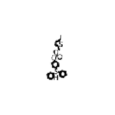 O=C(OCc1ccc(I)s1)Oc1ccc([SH](c2ccccc2)c2ccccc2)cc1